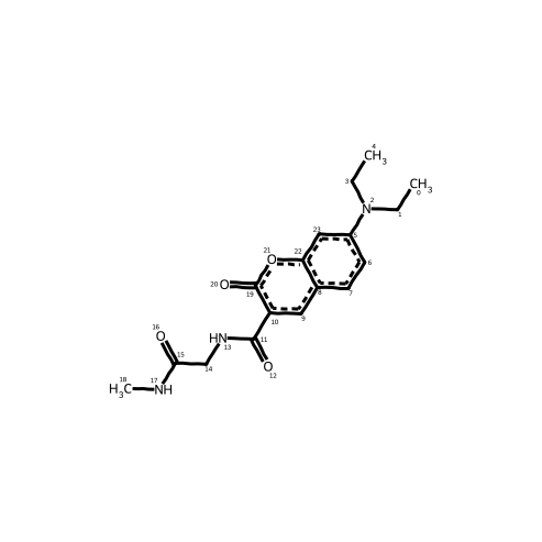 CCN(CC)c1ccc2cc(C(=O)NCC(=O)NC)c(=O)oc2c1